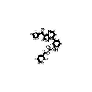 O=C(Nc1cccc(-c2ccnc3c(C(=O)c4cccs4)cnn23)c1)OCc1cccnc1